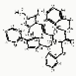 Cc1nn(C)c(C)c1C=CC(=O)N(Cc1ccc(-c2ncccn2)cc1)C(Cc1ccccc1)C(=O)N1CCc2ccccc2C1